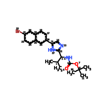 CC(C)C(NC(=O)OC(C)(C)C)c1ncc(-c2ccc3cc(Br)ccc3c2)[nH]1